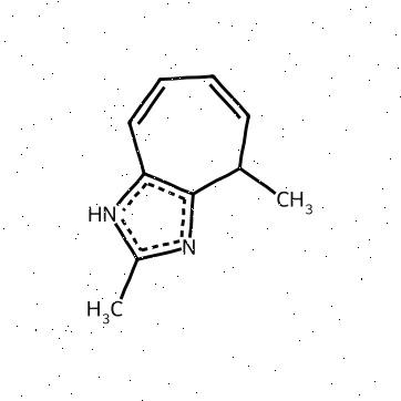 Cc1nc2c([nH]1)C=CC=CC2C